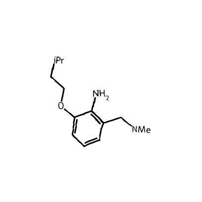 CNCc1cccc(OCCC(C)C)c1N